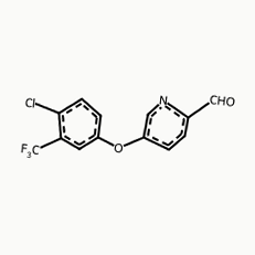 O=Cc1ccc(Oc2ccc(Cl)c(C(F)(F)F)c2)cn1